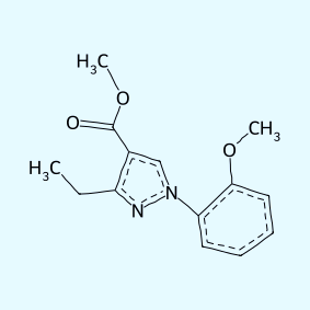 CCc1nn(-c2ccccc2OC)cc1C(=O)OC